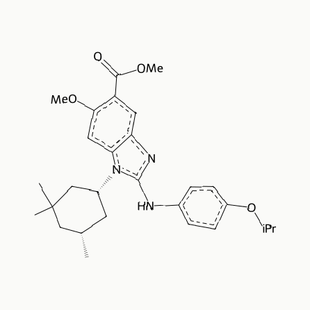 COC(=O)c1cc2nc(Nc3ccc(OC(C)C)cc3)n([C@@H]3C[C@H](C)CC(C)(C)C3)c2cc1OC